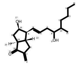 C=C1C[C@H]2[C@H](C=CCC(O)C(C)CCCC)[C@H](O)C[C@@H]2C1=O